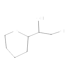 CCC(O)[C]1CCCCO1